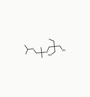 CCC(CO)(CO)COC(C)(C)COC(C)C